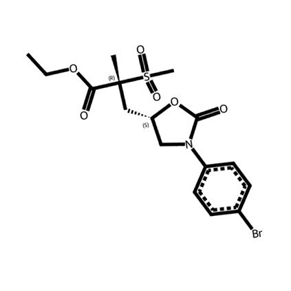 CCOC(=O)[C@@](C)(C[C@H]1CN(c2ccc(Br)cc2)C(=O)O1)S(C)(=O)=O